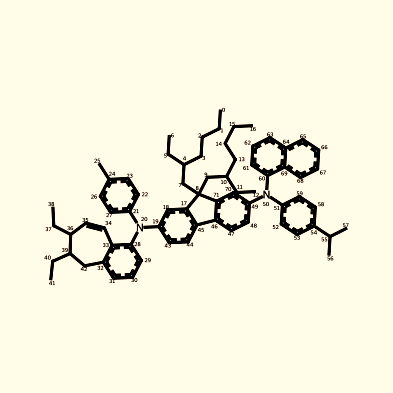 CCCCC(CC)CC1(CC(CC)CCCC)c2cc(N(c3ccc(C)cc3)c3cccc4c3C=CC(CC)C(CC)C4)ccc2-c2ccc(N(c3ccc(C(C)C)cc3)c3cccc4ccccc34)cc21